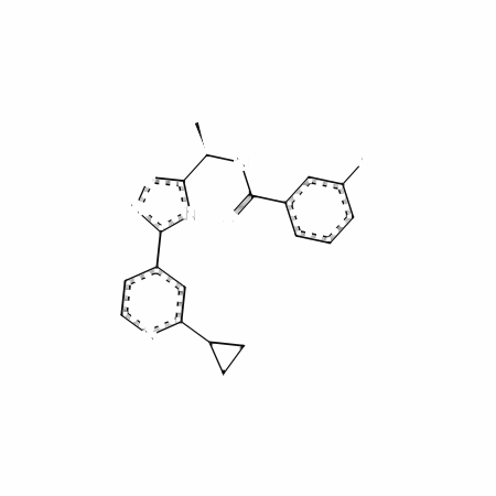 C[C@@H](NC(=O)c1cccc(Cl)c1)c1nc(-c2ccnc(C3CC3)c2)ns1